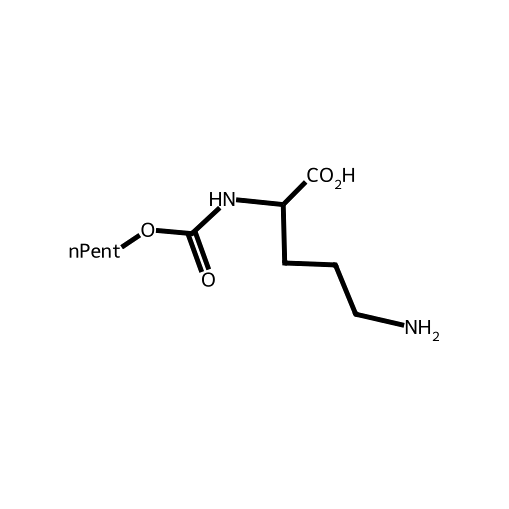 CCCCCOC(=O)NC(CCCN)C(=O)O